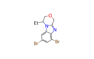 CCC1COCc2nc3c(Br)cc(Br)cc3n21